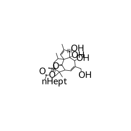 CCCCCCCC(=O)O[C@]1(C)CC(C)C23C=C(C)[C@H](O)C2(O)C(O)C(CO)=CC(C3=O)C1(C)C